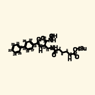 CC(C)(C)OC(=O)NCCCC(=O)NCC(NC(=O)c1ccc(-c2ccccc2)cc1)C(=O)NO